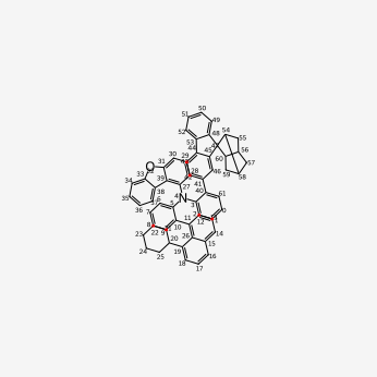 c1ccc(N(c2ccccc2-c2cccc3cccc(C4CCCCC4)c23)c2cccc3oc4ccccc4c23)c(-c2ccc3c(c2)C2(c4ccccc4-3)C3CC4CC3CC42)c1